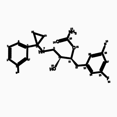 Cc1cccc(C2(NC[C@@H](O)[C@H](Cc3cc(F)cc(F)c3)OC(N)=O)CC2)c1